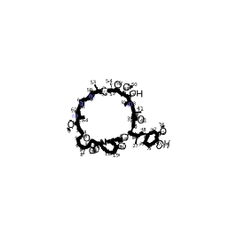 COC1CC2CC[C@@H](C)C(=O)C(O)(O2)C(=O)N2CCCCC2C(=O)O[C@H]([C@H](C)C[C@@H]2CC[C@@H](O)[C@H](OC)C2)CC(=O)[C@H](C)/C=C(\C)[C@@H](O)[C@@H](OC)C(=O)[C@@H](C)C[C@H](C)/C=C/C=C/C=C/1C